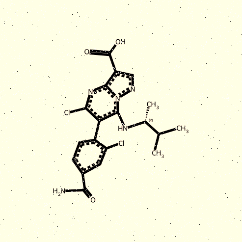 CC(C)[C@@H](C)Nc1c(-c2ccc(C(N)=O)cc2Cl)c(Cl)nc2c(C(=O)O)cnn12